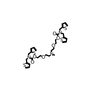 CN(CCOCCOC(=O)N(Cc1cccs1)Cc1cccs1)CCOCCOC(=O)N(Cc1cccs1)Cc1cccs1